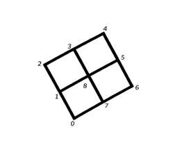 C1C2CC3CC4CC1C234